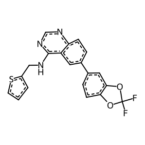 FC1(F)Oc2ccc(-c3ccc4ncnc(NCc5cccs5)c4c3)cc2O1